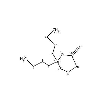 CCC[CH2][Sn]1([CH2]CCC)[O]C(=O)CC[S]1